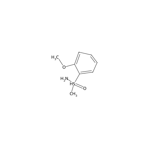 COc1ccccc1[SH](C)(N)=O